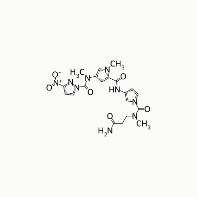 CN(CCC(N)=O)C(=O)n1ccc(NC(=O)c2cc(N(C)C(=O)n3ccc([N+](=O)[O-])n3)cn2C)c1